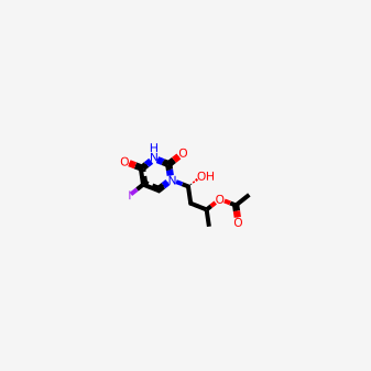 CC(=O)OC(C)C[C@@H](O)n1cc(I)c(=O)[nH]c1=O